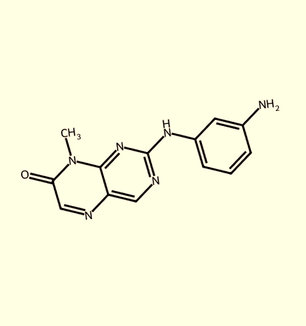 Cn1c(=O)cnc2cnc(Nc3cccc(N)c3)nc21